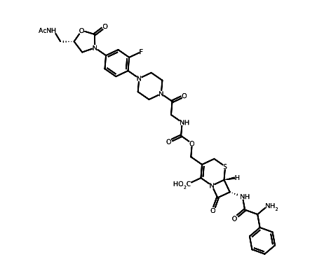 CC(=O)NC[C@H]1CN(c2ccc(N3CCN(C(=O)CNC(=O)OCC4=C(C(=O)O)N5C(=O)[C@@H](NC(=O)C(N)c6ccccc6)[C@H]5SC4)CC3)c(F)c2)C(=O)O1